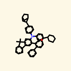 CC1(C)c2ccccc2-c2cc(-c3ccccc3-c3ccccc3)c(N(c3ccc(C4CCCCC4)cc3)c3ccc(C4CC5CCC4C5)cc3)cc21